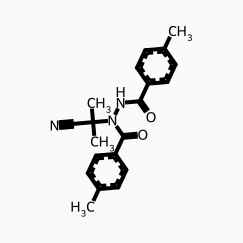 Cc1ccc(C(=O)NN(C(=O)c2ccc(C)cc2)C(C)(C)C#N)cc1